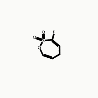 O=S1(=O)OC=CCC=C1F